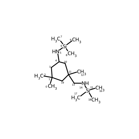 CC1(C)CC(N[Si](C)(C)C)CC(C)(CN[Si](C)(C)C)C1